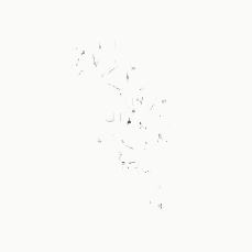 Cc1ncsc1-c1ccc(CNC(=O)[C@@H]2C[C@@H](O)CN2C(=O)C(c2cc(OCCCBr)no2)C(C)C)cc1